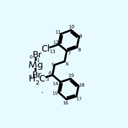 [Br][Mg][Br].[CH2]C(CCc1ccccc1Cl)c1ccccc1